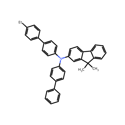 CCc1ccc(-c2ccc(N(c3ccc(-c4ccccc4)cc3)c3ccc4c(c3)C(C)(C)c3ccccc3-4)cc2)cc1